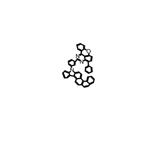 c1ccc(-c2ccc3c4c(nc(-c5cccc(-n6c7ccccc7c7c8ccc9ccc%10ccccc%10c9c8ccc76)c5)nc24)-c2ccccc2O3)cc1